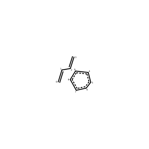 C=CC=C.c1ccccc1